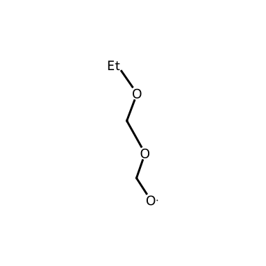 CCOCOC[O]